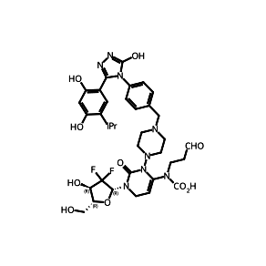 CC(C)c1cc(-c2nnc(O)n2-c2ccc(CN3CCN(N4C(=O)N([C@@H]5O[C@H](CO)[C@@H](O)C5(F)F)CC=C4N(CCC=O)C(=O)O)CC3)cc2)c(O)cc1O